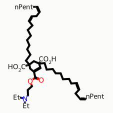 CCCCC/C=C\C/C=C\CCCCCCCCC1(C(=O)O)C=C(C(=O)OCCCN(CC)CC)CC(CCCCCCCC/C=C\C/C=C\CCCCC)(C(=O)O)C1